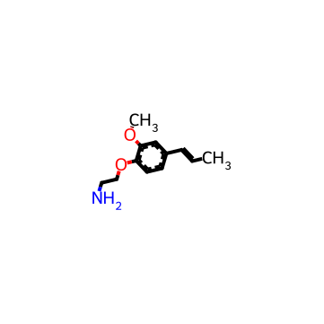 CC=Cc1ccc(OCCN)c(OC)c1